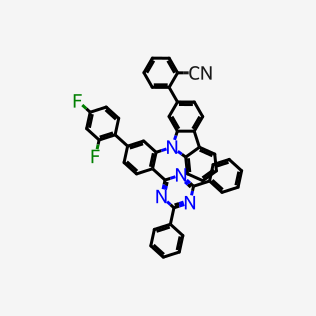 N#Cc1ccccc1-c1ccc2c3ccccc3n(-c3cc(-c4ccc(F)cc4F)ccc3-c3nc(-c4ccccc4)nc(-c4ccccc4)n3)c2c1